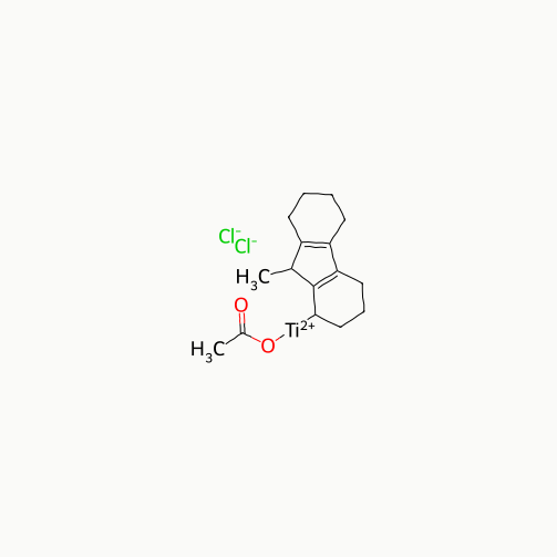 CC(=O)[O][Ti+2][CH]1CCCC2=C1C(C)C1=C2CCCC1.[Cl-].[Cl-]